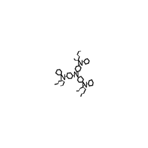 C=C/C=C\C(=C/C=C)N(c1ccccc1)c1ccc(N(c2ccc(N(/C(C=C)=C/C=C\C)c3ccccc3)cc2)c2ccc(N(C(/C=C\C)=C/C=C)c3ccccc3)cc2)cc1